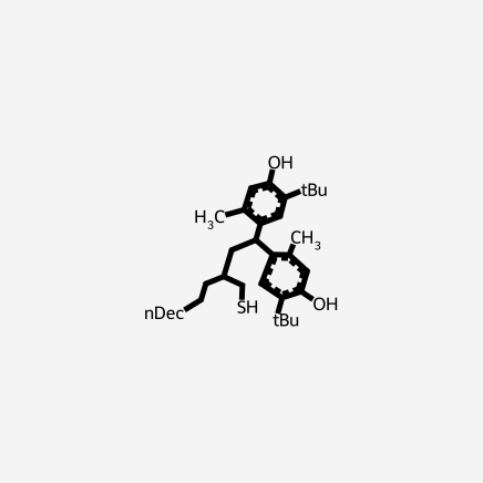 CCCCCCCCCCCCC(CS)CC(c1cc(C(C)(C)C)c(O)cc1C)c1cc(C(C)(C)C)c(O)cc1C